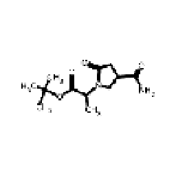 CC(C(=O)OC(C)(C)C)N1CC(C(N)=O)CC1=O